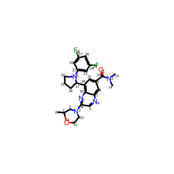 CC1CN(c2cnc3cc(C(=O)N(C)C)cc(C4CCCN4c4cc(F)cc(F)c4)c3n2)CCO1